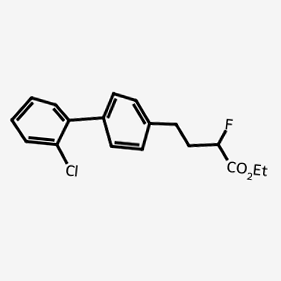 CCOC(=O)C(F)CCc1ccc(-c2ccccc2Cl)cc1